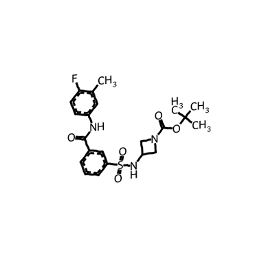 Cc1cc(NC(=O)c2cccc(S(=O)(=O)NC3CN(C(=O)OC(C)(C)C)C3)c2)ccc1F